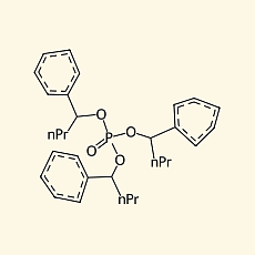 CCCC(OP(=O)(OC(CCC)c1ccccc1)OC(CCC)c1ccccc1)c1ccccc1